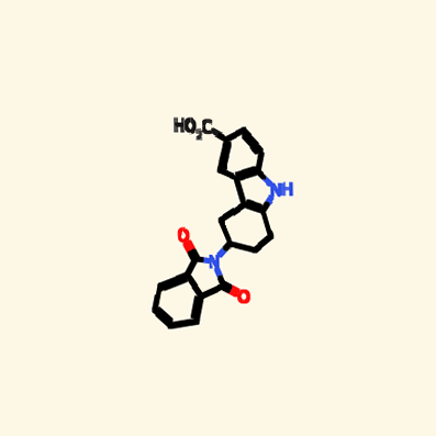 O=C(O)c1ccc2[nH]c3c(c2c1)CC(N1C(=O)c2ccccc2C1=O)CC3